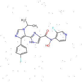 CC(C)n1cnc(-c2ccc(F)cc2)c1-c1nc(C(=O)N(O)c2ccncc2F)c[nH]1